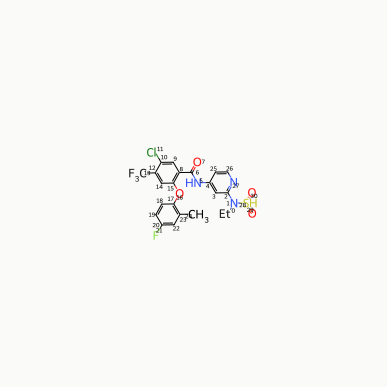 [CH2]CN(c1cc(NC(=O)c2cc(Cl)c(C(F)(F)F)cc2Oc2ccc(F)cc2C)ccn1)[SH](=O)=O